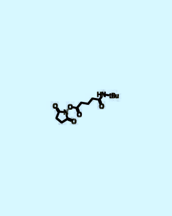 CC(C)(C)NC(=O)CCCC(=O)ON1C(=O)CCC1=O